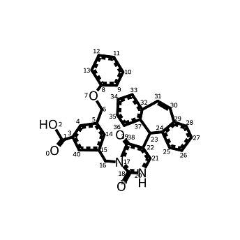 O=C(O)c1cc(COc2ccccc2)cc(Cn2c(=O)[nH]cc(C3c4ccccc4C=Cc4ccccc43)c2=O)c1